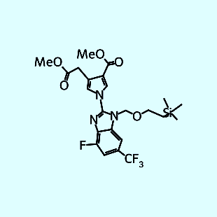 COC(=O)Cc1cn(-c2nc3c(F)cc(C(F)(F)F)cc3n2COCC[Si](C)(C)C)cc1C(=O)OC